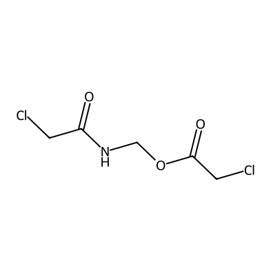 O=C(CCl)NCOC(=O)CCl